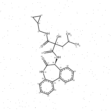 CC(C)CC(O)(C(=O)NCC1CC1)C(=O)N[C@@H]1C(=O)Nc2ccccc2-c2ccccc21